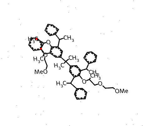 COCCOCC(C)Oc1c(C(C)c2ccccc2)cc(C(C)(C)c2cc(C(C)c3ccccc3)c(OC(C)COCCOC)c(C(C)c3ccccc3)c2)cc1C(C)c1ccccc1